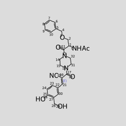 CC(=O)NC(COCc1ccccc1)C(=O)N1CCN(C(=O)/C(C#N)=C/c2ccc(O)c(CO)c2)CC1